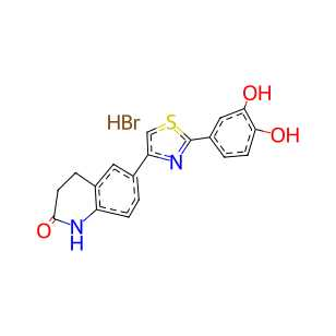 Br.O=C1CCc2cc(-c3csc(-c4ccc(O)c(O)c4)n3)ccc2N1